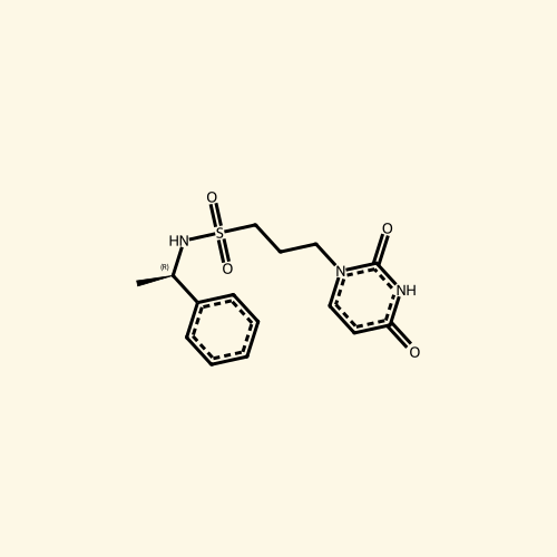 C[C@@H](NS(=O)(=O)CCCn1ccc(=O)[nH]c1=O)c1ccccc1